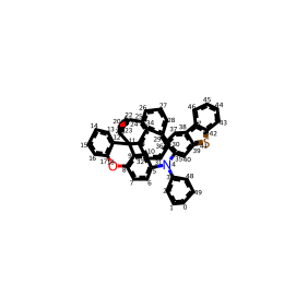 c1ccc(N(c2ccc3c(c2)C2(c4ccccc4O3)c3ccccc3-c3cccc4cccc2c34)c2ccc3c(c2)sc2ccccc23)cc1